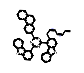 C=C/C=C\C=C/Cc1ccc2oc3ccccc3c2c1-c1nc(-c2ccc3c(ccc4ccccc43)c2)nc(-c2cccc3oc4ccccc4c23)n1